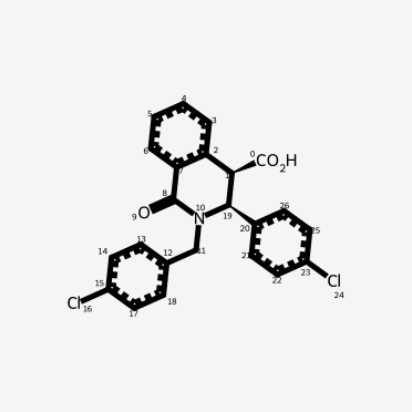 O=C(O)[C@@H]1c2ccccc2C(=O)N(Cc2ccc(Cl)cc2)[C@@H]1c1ccc(Cl)cc1